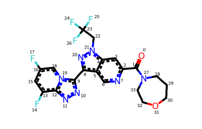 O=C(c1cc2c(cn1)c(-c1nnc3c(F)cc(F)cn13)nn2CC(F)(F)F)N1CCCOCC1